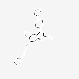 COc1cc2c(C3CCN([C@@H]4CCOC4)CC3)cc(C)nc2cc1OCCCN1CCCC1